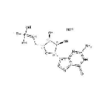 Nc1nc2c(ncn2[C@@H]2O[C@H](C[SH]=P(O)(O)O)[C@@H](O)[C@H]2O)c(=O)[nH]1.[NaH]